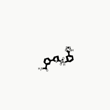 NC(=O)c1cccc(-c2ccc(S(=O)(=O)Nc3cccc(-c4nnn[nH]4)c3)s2)c1